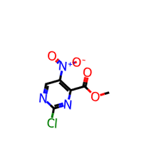 COC(=O)c1nc(Cl)ncc1[N+](=O)[O-]